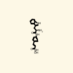 N[C@H](Cc1c[nH]c2ccccc12)C(=O)Nc1ccc(/C=C/C(=O)NO)cc1